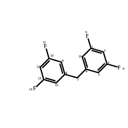 Fc1cc(F)cc([CH]c2cc(F)cc(F)c2)c1